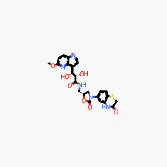 COc1ccc2nccc([C@@H](O)[C@H](O)C(=O)NC[C@@H]3CN(c4ccc5c(c4)NC(=O)CS5)C(=O)O3)c2n1